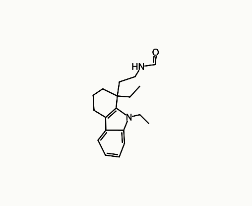 CCn1c2c(c3ccccc31)CCCC2(CC)CCNC=O